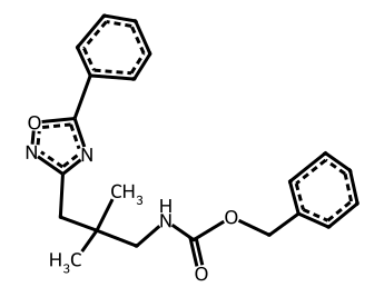 CC(C)(CNC(=O)OCc1ccccc1)Cc1noc(-c2ccccc2)n1